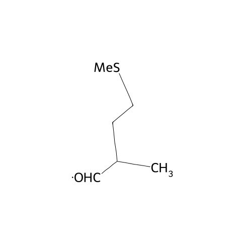 CSCCC(C)[C]=O